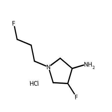 Cl.NC1CN(CCCF)CC1F